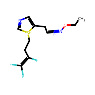 CCO/N=C\CC1=CN=C[SH]1CCC(F)=C(F)F